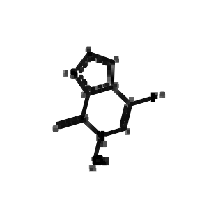 C=C1c2sccc2C(F)=CN1C(C)(C)C